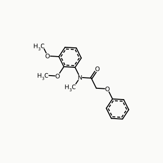 COc1cccc(N(C)C(=O)COc2ccccc2)c1OC